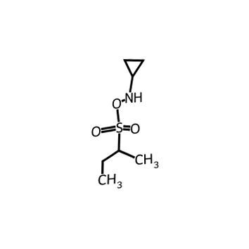 CCC(C)S(=O)(=O)ONC1CC1